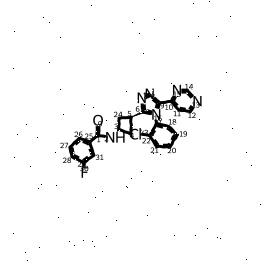 O=C(N[C@H]1C[C@H](c2nnc(-c3ccncn3)n2-c2ccccc2Cl)C1)c1cccc(F)c1